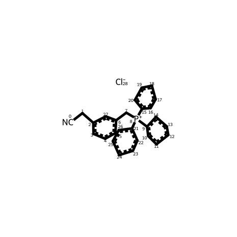 N#CCc1cccc(C[P+](c2ccccc2)(c2ccccc2)c2ccccc2)c1.[Cl-]